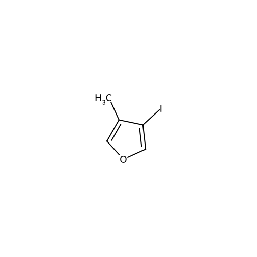 Cc1cocc1I